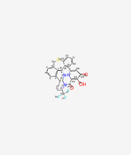 CCc1cccc2c1[C@@H](N1CN(C(C)C(F)(F)F)C(=O)c3c(O)c(=O)ccn31)c1ccccc1SC2